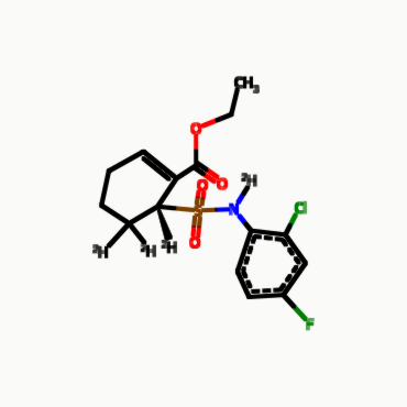 [2H]N(c1ccc(F)cc1Cl)S(=O)(=O)[C@@]1([2H])C(C(=O)OCC)=CCCC1([2H])[2H]